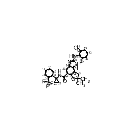 CC1(C)Cc2c(c(C(=O)NC3(c4ccccc4C(F)(F)F)CC3)cc3nc(Nc4c(F)cccc4Cl)[nH]c23)O1